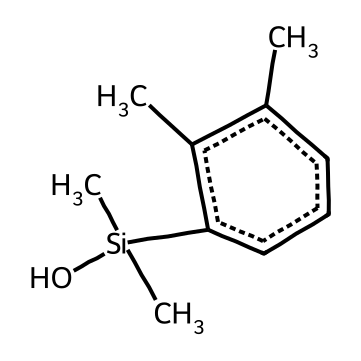 Cc1cccc([Si](C)(C)O)c1C